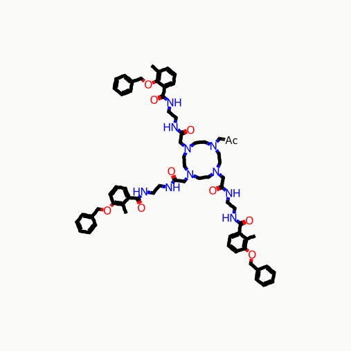 CC(=O)CN1CCN(CC(=O)NCCNC(=O)c2cccc(OCc3ccccc3)c2C)CCN(CC(=O)NCCNC(=O)c2cccc(OCc3ccccc3)c2C)CCN(CC(=O)NCCNC(=O)c2cccc(C)c2OCc2ccccc2)CC1